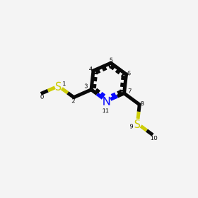 CSCc1cccc(CSC)n1